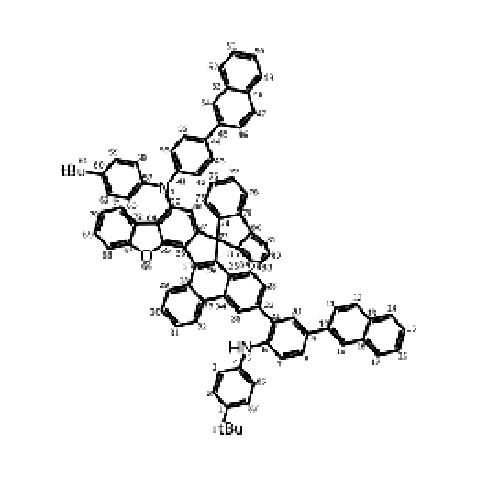 CC(C)(C)c1ccc(Nc2ccc(-c3ccc4ccccc4c3)cc2-c2ccc3c4c(c5ccccc5c3c2)-c2c(cc(N(c3ccc(-c5ccc6ccccc6c5)cc3)c3ccc(C(C)(C)C)cc3)c3c2oc2ccccc23)C42c3ccccc3-c3ccccc32)cc1